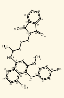 COc1cc(NC(C)CCCN2C(=O)c3ccccc3C2=O)c2nccc(C)c2c1Oc1ccc(F)cc1